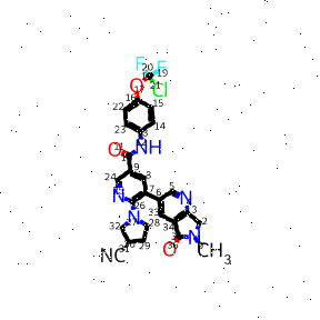 CN1Cc2ncc(-c3cc(C(=O)Nc4ccc(OC(F)(F)Cl)cc4)cnc3N3CC[C@H](C#N)C3)cc2C1=O